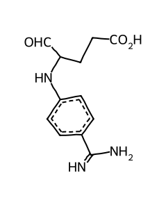 N=C(N)c1ccc(NC(C=O)CCC(=O)O)cc1